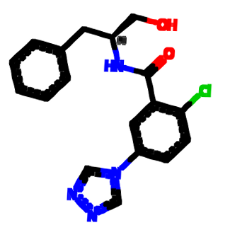 O=C(N[C@H](CO)Cc1ccccc1)c1cc(-n2cnnc2)ccc1Cl